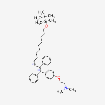 CN(C)CCOc1ccc(/C(=C(/C=C\CCCCCCCCO[Si](C)(C)C(C)(C)C)c2ccccc2)c2ccccc2)cc1